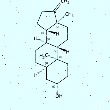 C=C1CC[C@H]2[C@@H]3CC[C@@H]4C[C@@H](O)CC[C@]4(C)[C@H]3CC[C@]12C